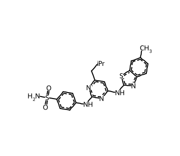 Cc1ccc2nc(Nc3cc(CC(C)C)nc(Nc4ccc(S(N)(=O)=O)cc4)n3)sc2c1